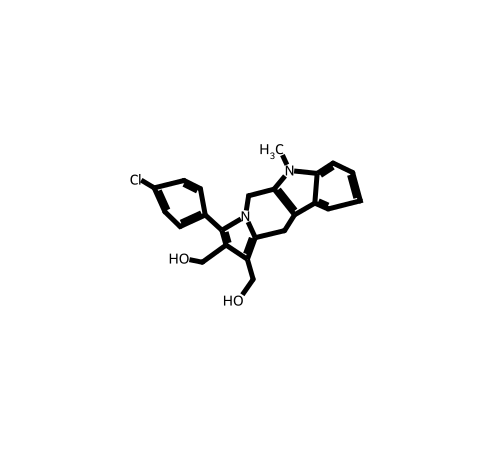 Cn1c2c(c3ccccc31)Cc1c(CO)c(CO)c(-c3ccc(Cl)cc3)n1C2